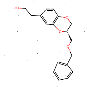 OCCc1ccc2c(c1)O[C@H](COCc1ccccc1)CO2